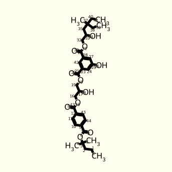 CCCC(C)(C)OC(=O)c1ccc(C(=O)OCC(O)COC(=O)c2cc(O)cc(C(=O)OCC(O)CC(C)(CC)CC)c2)cc1